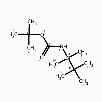 CC(C)(C)OC(=O)N[Si](C)(C)C(C)(C)C